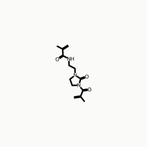 C=C(C)C(=O)NCCN1CCN(C(=O)C(=C)C)C1=O